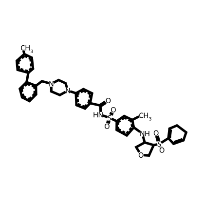 Cc1ccc(-c2ccccc2CN2CCN(c3ccc(C(=O)NS(=O)(=O)c4ccc(NC5COCC5S(=O)(=O)C5=CCCC=C5)c(C)c4)cc3)CC2)cc1